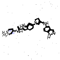 C=C(NC(/C=C\N)=C/N)c1cc2ccc(N3CCC(Nc4ccc5[nH]ncc5c4)C3)cc2[nH]1